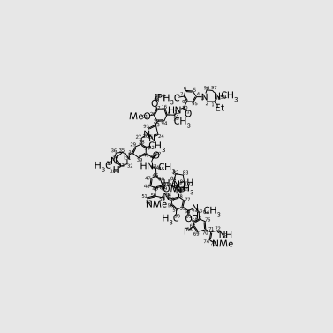 CCC1CN(c2ccc(C)c(C(=O)N[C@H](C)c3cc(OC(C)C)c(OC)c(-c4cnn(Cc5cc(N6C[C@H]7CC6CN7C)cc(C(=O)N[C@H](C)c6ccc(C(=C/NC)/C=N/c7cc(C)c(C(=O)N[C@H](C)c8cc(F)cc(/C(C=N)=C/NC)c8)cc7N7C[C@H]8CC[C@@H](C7)N8C)c(OC)c6)c5C)c4)c3)c2)CCN1C